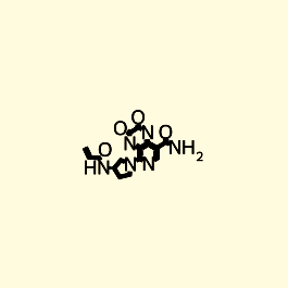 C=CC(=O)N[C@@H]1CCN(c2ncc(C(N)=O)c3c2=NC(=O)C(=O)N=3)C1